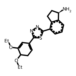 CCOC1=CC(c2nnc(-c3cccc4c3CC[C@H]4N)s2)=CCC1OCC